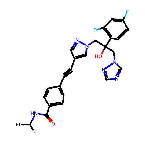 CCC(CC)NC(=O)c1ccc(C#Cc2cnn(CC(O)(Cn3cncn3)c3ccc(F)cc3F)c2)cc1